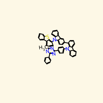 Cc1nc(-c2ccccc2)nc(-c2ccc(-n3c4ccccc4c4cccc(-c5ccc6c(c5)c5ccccc5n6-c5cccc6c5sc5ccccc56)c43)cc2)n1